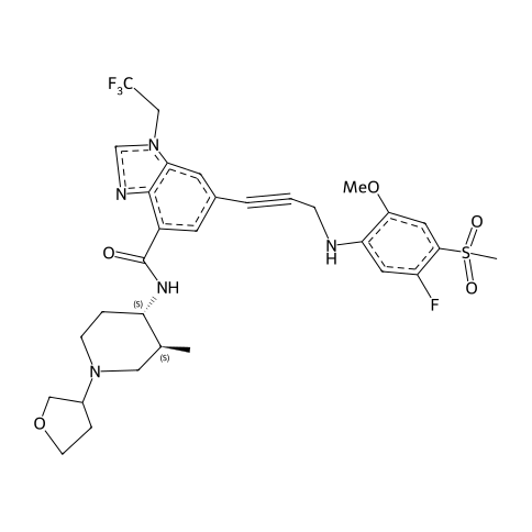 COc1cc(S(C)(=O)=O)c(F)cc1NCC#Cc1cc(C(=O)N[C@H]2CCN(C3CCOC3)C[C@@H]2C)c2ncn(CC(F)(F)F)c2c1